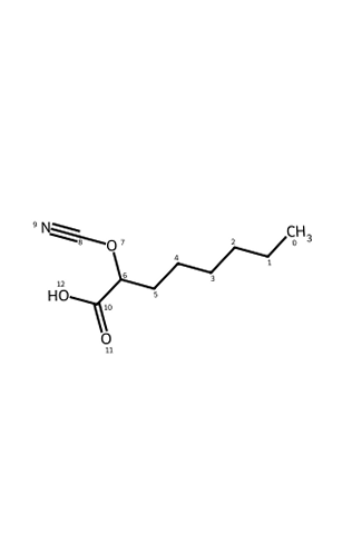 CCCCCCC(OC#N)C(=O)O